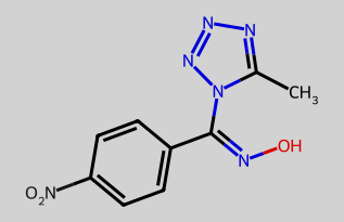 Cc1nnnn1C(=NO)c1ccc([N+](=O)[O-])cc1